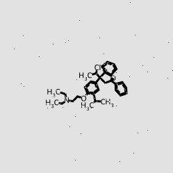 CCN(CC)CCOc1ccc(C(CC(=O)c2ccccc2)(c2ccccc2)C(C)C)cc1C(C)C